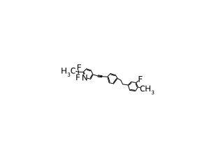 Cc1ccc(CCc2ccc(C#Cc3ccc(C(C)(F)F)nc3)cc2)cc1F